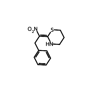 O=[N+]([O-])C(Cc1ccccc1)=C1NCCCS1